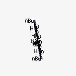 CCCC/C=C\CCCC(=O)NCCOCCNC(=O)CC[C@H](NC(=O)OC(C)(C)C)C(=O)NCCOCCNC(=O)CCC/C=C\CCCC